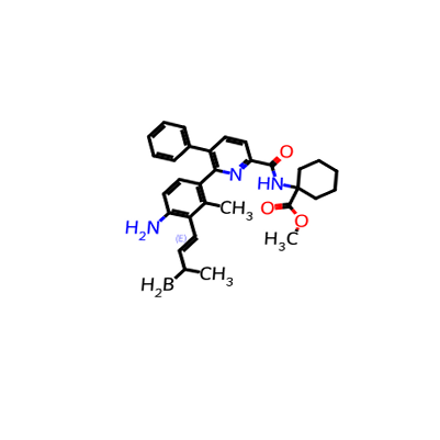 BC(C)/C=C/c1c(N)ccc(-c2nc(C(=O)NC3(C(=O)OC)CCCCC3)ccc2-c2ccccc2)c1C